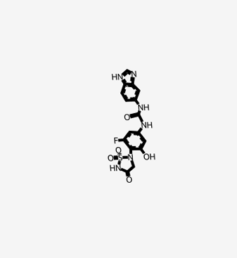 O=C1CN(c2c(O)cc(NC(=O)Nc3ccc4[nH]cnc4c3)cc2F)S(=O)(=O)N1